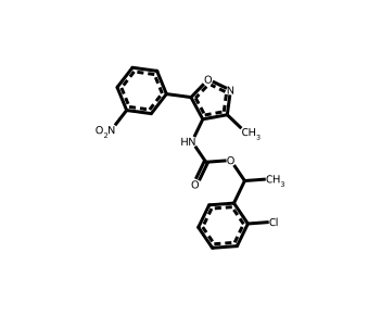 Cc1noc(-c2cccc([N+](=O)[O-])c2)c1NC(=O)OC(C)c1ccccc1Cl